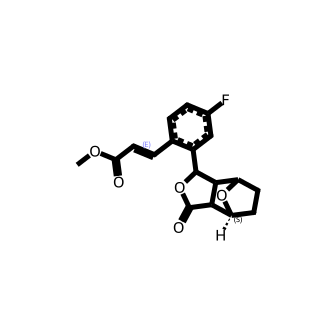 COC(=O)/C=C/c1ccc(F)cc1C1OC(=O)C2C1C1CC[C@@H]2O1